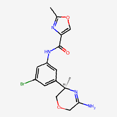 Cc1nc(C(=O)Nc2cc(Br)cc([C@]3(C)COCC(N)=N3)c2)co1